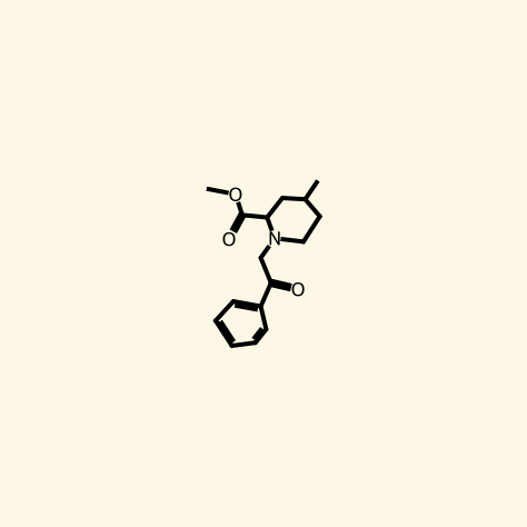 COC(=O)C1CC(C)CCN1CC(=O)c1ccccc1